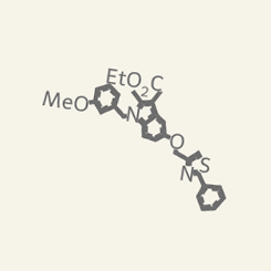 CCOC(=O)Cc1c(C)n(Cc2cccc(OC)c2)c2ccc(OCc3csc(-c4ccccc4)n3)cc12